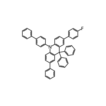 Fc1ccc(-c2ccc3c(c2)C(c2ccccc2)(c2ccccc2)c2cc(-c4ccccc4)ccc2N3c2ccc(-c3ccccc3)cc2)cc1